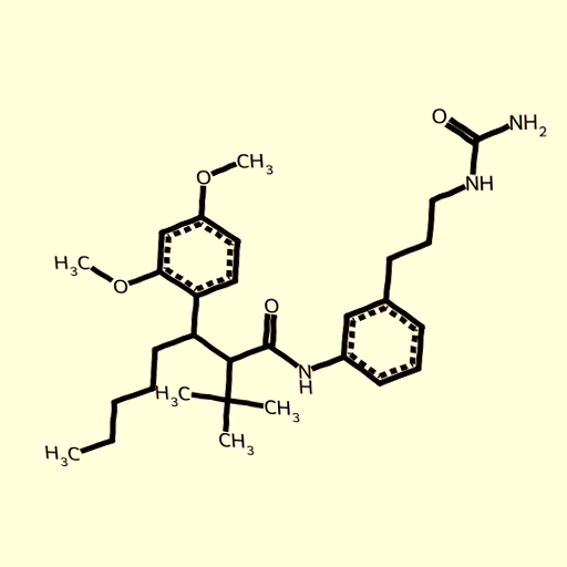 CCCCCC(c1ccc(OC)cc1OC)C(C(=O)Nc1cccc(CCCNC(N)=O)c1)C(C)(C)C